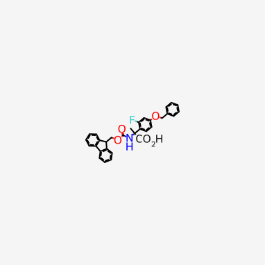 CC(NC(=O)OCC1c2ccccc2-c2ccccc21)(C(=O)O)c1ccc(OCc2ccccc2)cc1F